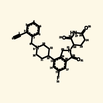 C#Cc1ccccc1CN1CCC(c2cc(F)cc3c2CN(C2CCC(=O)NC2=O)C3=O)CC1